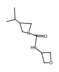 CC(C)C1CN(C(=O)NC2COC2)C1